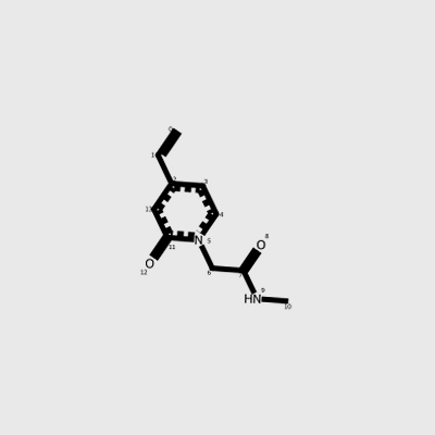 C=Cc1ccn(CC(=O)NC)c(=O)c1